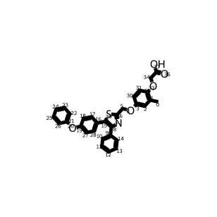 Cc1cc(OCc2nc(-c3ccccc3)c(-c3ccc(Oc4ccccc4)cc3)s2)ccc1OCC(=O)O